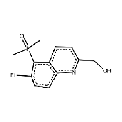 CCc1ccc2nc(CO)ccc2c1P(C)(C)=O